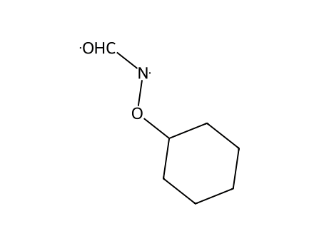 O=[C][N]OC1CCCCC1